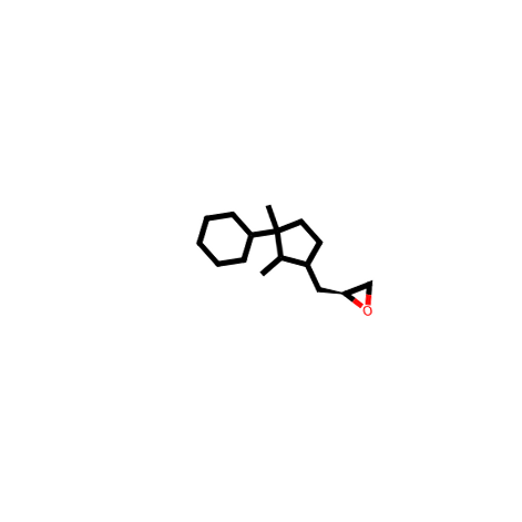 CC1C(C[C@H]2CO2)CCC1(C)C1CCCCC1